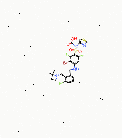 CC1(C)CCN1Cc1c(F)cccc1CNc1cc(F)c(S(=O)(=O)N(C(=O)O)c2cscn2)c(F)c1Br